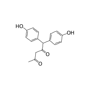 CC(=O)CC(=O)C(c1ccc(O)cc1)c1ccc(O)cc1